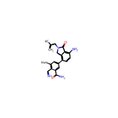 C=C(C#N)CN1Cc2c(-c3cc(NC)c(C=N)c(C(N)=O)c3)ccc(N)c2C1=O